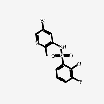 Cc1ncc(Br)cc1NS(=O)(=O)c1cccc(F)c1Cl